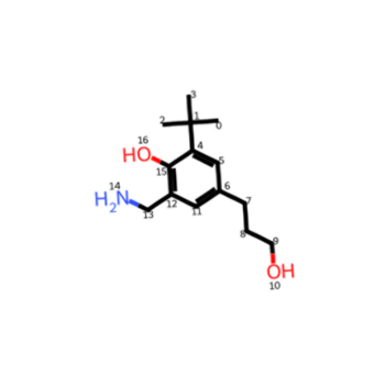 CC(C)(C)c1cc(CCCO)cc(CN)c1O